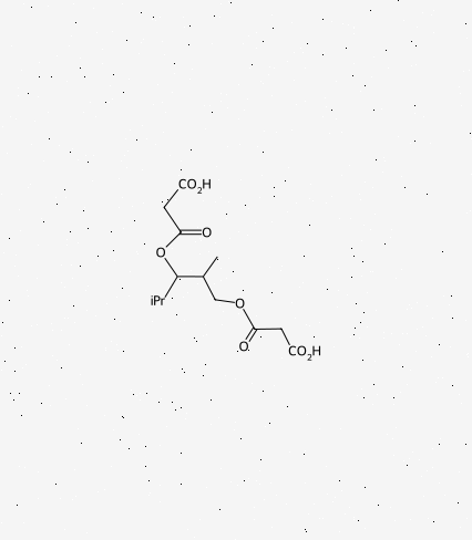 CC(C)C(OC(=O)CC(=O)O)C(C)COC(=O)CC(=O)O